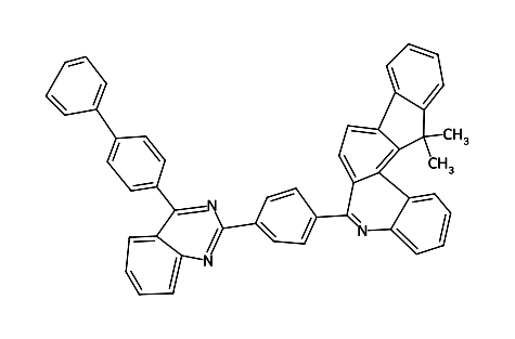 CC1(C)c2ccccc2-c2ccc3c(-c4ccc(-c5nc(-c6ccc(-c7ccccc7)cc6)c6ccccc6n5)cc4)nc4ccccc4c3c21